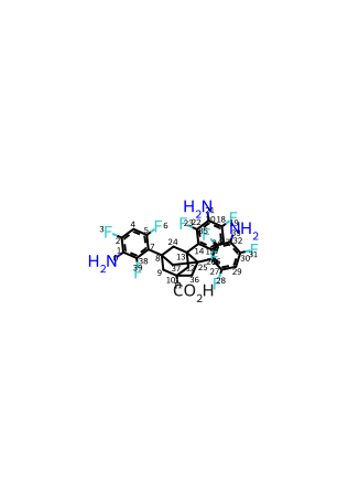 Nc1c(F)cc(F)c(C23CC4(C(=O)O)CC(c5c(F)cc(F)c(N)c5F)(C2)C(c2c(F)cc(F)c(N)c2F)(C4)C3)c1F